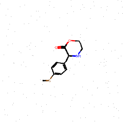 CSc1ccc(C2NCCOC2=O)cc1